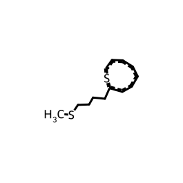 CSCCCCc1cccccccs1